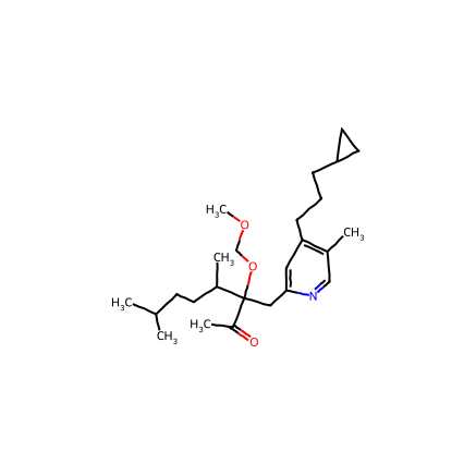 COCOC(Cc1cc(CCCC2CC2)c(C)cn1)(C(C)=O)C(C)CCC(C)C